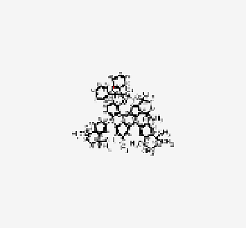 Cc1cc2c3c(c1)N(c1ccc4c(c1)C(C)(C)CCC4(C)C)c1c(sc4c1C(C)(C)CCC4(C)C)B3c1c(ccc3c1OC(C)(c1ccccc1)C3(C)c1ccccc1)N2c1ccc2c(c1)C(C)(C)CCC2(C)C